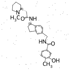 Cc1ccc(C(=O)NCc2ccc3c(c2)CC[C@@H]3NC(=O)C[C@H]2CCCCN2C)cc1O